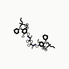 CCCC1(C)CN(c2ccccc2)c2cc(SC)c(O/C=C(\F)C(=O)OC(=O)/C(F)=C/Oc3cc4c(cc3SC)N(c3ccccc3)CC(C)(CCC)CS4(=O)=O)cc2S(=O)(=O)C1